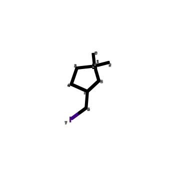 C[Si]1(C)CCC(CI)C1